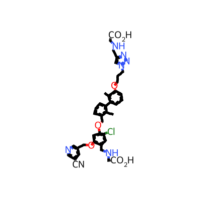 Cc1c(COc2cc(OCc3cncc(C#N)c3)c(CNCC(=O)O)cc2Cl)cccc1-c1cccc(OCCCn2cc(CNCC(=O)O)nn2)c1C